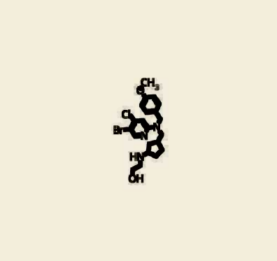 COc1ccc(CN(CC2CCC(NCCO)C2)c2cc(Cl)c(Br)cn2)cc1